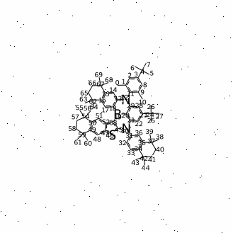 Cc1cc(C(C)(C)C)cc(C)c1N1c2cc3c(cc2B2c4c(cc(C(C)(C)C)cc41)N(c1ccc4c(c1)C(C)(C)CCC4(C)C)c1sc4cc5c(cc4c12)C(C)(C)CCC5(C)C)C(C)(C)CCC3(C)C